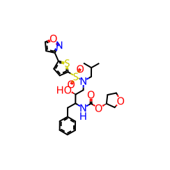 CC(C)CN(C[C@H](O)C(Cc1ccccc1)NC(=O)O[C@H]1CCOC1)S(=O)(=O)c1ccc(-c2ccon2)s1